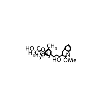 COc1nc2ccccc2cc1[C@H](O)CCc1cc(C)c(OC(C)(C)C(=O)O)c(C)c1